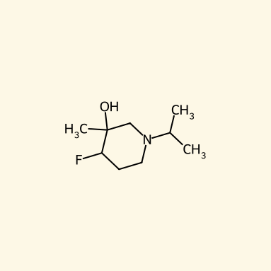 CC(C)N1CCC(F)C(C)(O)C1